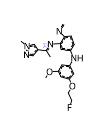 C=Nc1ccc(Nc2cc(OC)cc(OCCF)c2)cc1/N=C(\C)c1cnn(C)c1